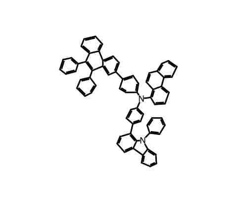 c1ccc(-c2c(-c3ccccc3)c3cc(-c4ccc(N(c5ccc(-c6cccc7c8ccccc8n(-c8ccccc8)c67)cc5)c5cccc6c5ccc5ccccc56)cc4)ccc3c3ccccc23)cc1